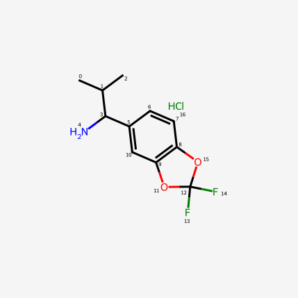 CC(C)C(N)c1ccc2c(c1)OC(F)(F)O2.Cl